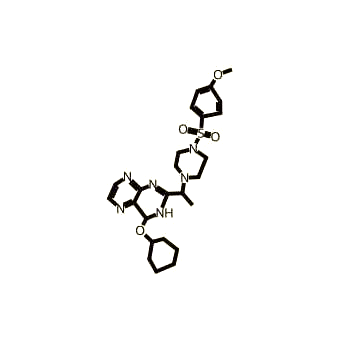 COc1ccc(S(=O)(=O)N2CCN(C(C)C3=Nc4nccnc4C(OC4CCCCC4)N3)CC2)cc1